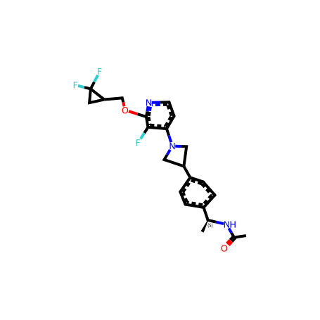 CC(=O)N[C@@H](C)c1ccc(C2CN(c3ccnc(OCC4CC4(F)F)c3F)C2)cc1